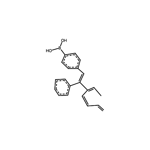 C=C\C=C/C(=C\C)C(=C/c1ccc(B(O)O)cc1)/c1ccccc1